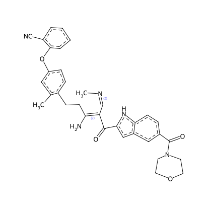 C/N=C\C(C(=O)c1cc2cc(C(=O)N3CCOCC3)ccc2[nH]1)=C(\N)CCc1ccc(Oc2ccccc2C#N)cc1C